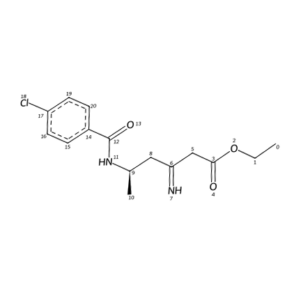 CCOC(=O)CC(=N)C[C@@H](C)NC(=O)c1ccc(Cl)cc1